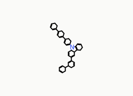 C1=CCCC(C2=CC=C(C3=CC=C(N4C5=C(CCC=C5)C5C=C(C6=CC(C7C=CC=CC7)CC=C6)C=CC54)CC3)CC2)=C1